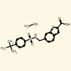 CC(C)(C)c1ccc(S(=O)(=O)NCc2ccc3cc(C(=O)O)sc3c2)cc1.NO